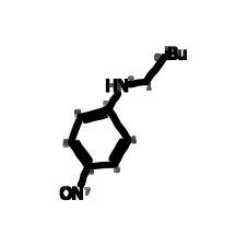 CCC(C)CNc1ccc(N=O)cc1